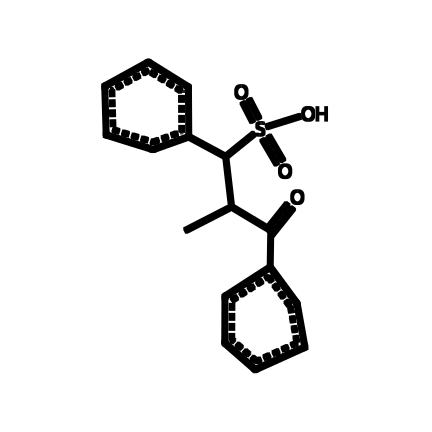 CC(C(=O)c1ccccc1)C(c1ccccc1)S(=O)(=O)O